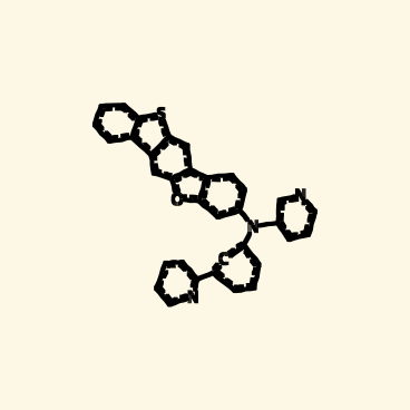 c1ccc(-c2cccc(N(c3cccnc3)c3ccc4c(c3)oc3cc5c(cc34)sc3ccccc35)c2)nc1